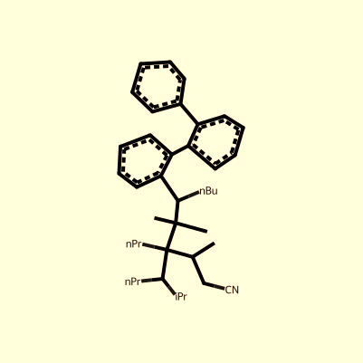 CCCCC(c1ccccc1-c1ccccc1-c1ccccc1)C(C)(C)C(CCC)(C(C)CC#N)C(CCC)C(C)C